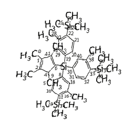 CC1=C(C)C(C)C([Si](c2ccc([Si](C)(C)C)c(C)c2)(c2ccc([Si](C)(C)C)c(C)c2)c2ccc([Si](C)(C)C)c(C)c2)=C1C